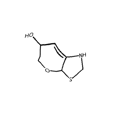 OC1C=C2NCSC2OC1